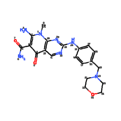 CCn1c(N)c(C(N)=O)c(=O)c2cnc(Nc3ccc(CN4CCOCC4)cc3)nc21